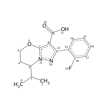 CC(C)C1CCOc2c(C(=O)O)c(-c3ccccc3F)nn21